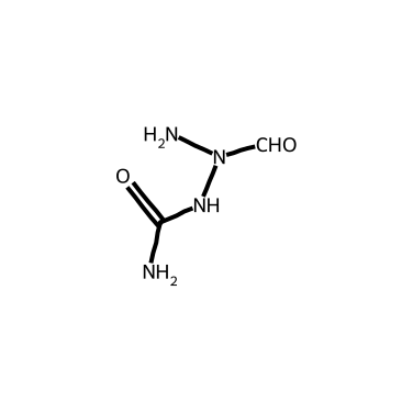 NC(=O)NN(N)C=O